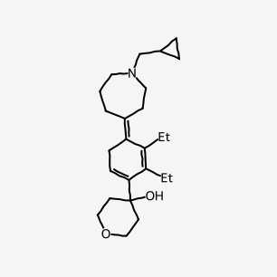 CCC1=C(CC)/C(=C2/CCCN(CC3CC3)CC2)CC=C1C1(O)CCOCC1